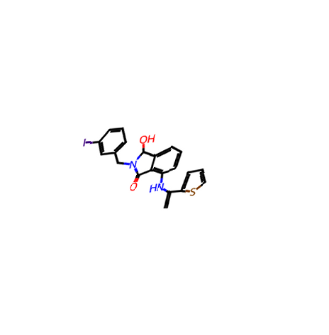 C=C(Nc1cccc2c1C(=O)N(Cc1cccc(I)c1)C2O)c1cccs1